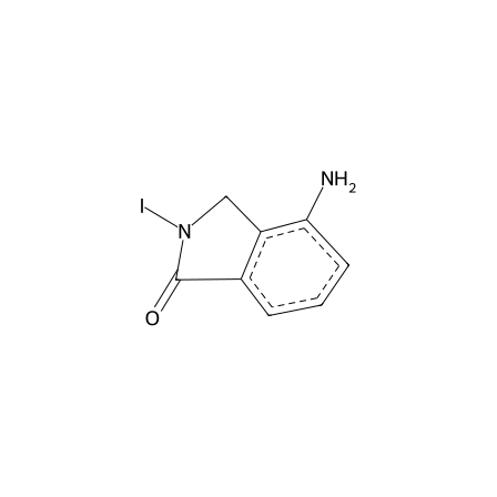 Nc1cccc2c1CN(I)C2=O